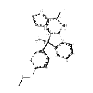 CCOc1ccc(C2(N)c3ccccc3-c3[nH]c(=O)c4nccn4c32)cc1